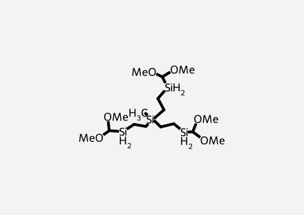 COC(OC)[SiH2]CC[Si](C)(CC[SiH2]C(OC)OC)CC[SiH2]C(OC)OC